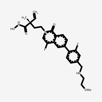 C=C[C@](C)(CCn1cc(F)c2cc(-c3ccc(CNCCOC)cc3F)ccc2c1=O)C(=O)NO